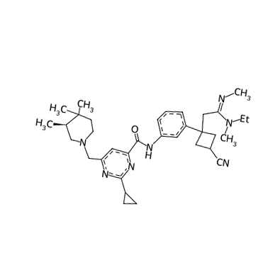 CCN(C)/C(CC1(c2cccc(NC(=O)c3cc(CN4CCC(C)(C)[C@H](C)C4)nc(C4CC4)n3)c2)CC(C#N)C1)=N\C